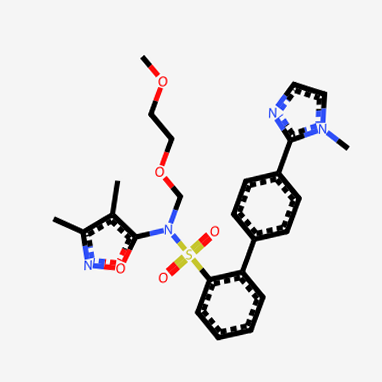 COCCOCN(c1onc(C)c1C)S(=O)(=O)c1ccccc1-c1ccc(-c2nccn2C)cc1